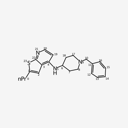 CCCc1cc2c(NC3CCN(Cc4ccccc4)CC3)ccnc2s1